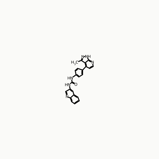 Cc1n[nH]c2nccc(-c3ccc(NC(=O)Nc4cnc5ccccc5c4)cc3)c12